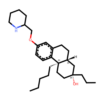 CCCCC[C@@]12CC[C@](O)(CCC)C[C@H]1CCc1cc(OCC3CCCCN3)ccc12